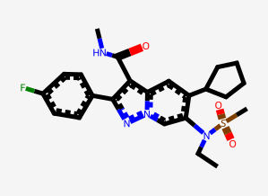 CCN(c1cn2nc(-c3ccc(F)cc3)c(C(=O)NC)c2cc1C1CCCC1)S(C)(=O)=O